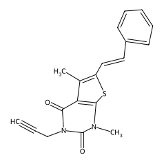 C#CCn1c(=O)c2c(C)c(C=Cc3ccccc3)sc2n(C)c1=O